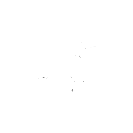 CC(=O)N1CCC(N(C(N)=O)[C@H]2CC[C@H](C)CC2)CC1